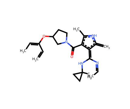 C=C/C(=C\C)OC1CCN(C(=O)c2c(C)[nH]c(=C)/c2=C(\N=C/C)NC2(C)CC2)C1